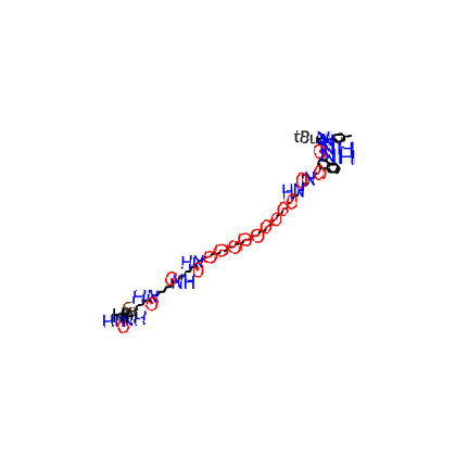 Cc1ccc(-n2nc(C(C)(C)C)cc2NC(=O)Nc2ccc(OCCN3CCOC(CNCCOCCOCCOCCOCCOCCOCCOCCOCCOCCNC(=O)CCCCCNC(=O)CCCCCNC(=O)CCCC[C@@H]4SC[C@@H]5NC(=O)N[C@@H]54)C3)c3ccccc23)cc1